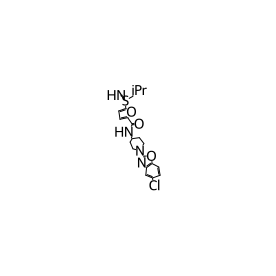 CC(C)CS(=N)c1ccc(C(=O)NC2CCN(c3nc4cc(Cl)ccc4o3)CC2)o1